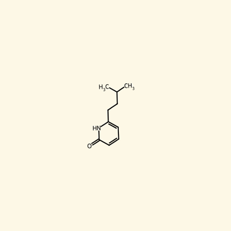 CC(C)CCc1cccc(=O)[nH]1